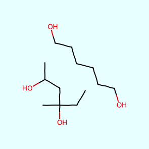 CCC(C)(O)CC(C)O.OCCCCCCO